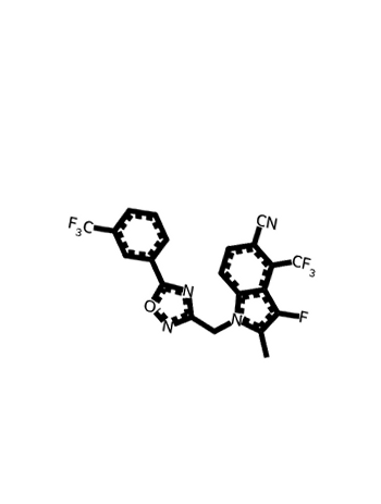 Cc1c(F)c2c(C(F)(F)F)c(C#N)ccc2n1Cc1noc(-c2cccc(C(F)(F)F)c2)n1